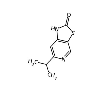 CC(C)c1cc2[nH]c(=O)sc2cn1